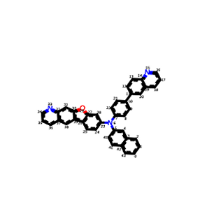 c1ccc2cc(N(c3ccc(-c4ccc5ncccc5c4)cc3)c3ccc4c(c3)oc3cc5ncccc5cc34)ccc2c1